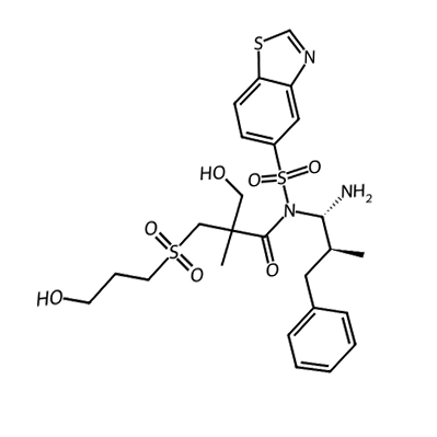 C[C@@H](Cc1ccccc1)[C@@H](N)N(C(=O)C(C)(CO)CS(=O)(=O)CCCO)S(=O)(=O)c1ccc2scnc2c1